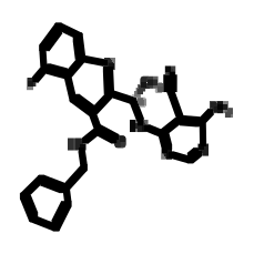 C[C@H](Nc1ncnc(N)c1C#N)c1nc2cccc(F)c2cc1C(=O)NCc1ccccc1